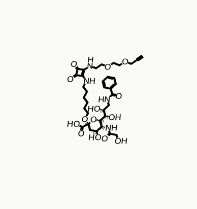 C#CCOCCOCCNc1c(NCCCCCCO[C@]2(C(=O)O)C[C@H](O)[C@@H](NC(=O)CO)[C@H]([C@H](O)[C@H](O)CNC(=O)c3ccccc3)O2)c(=O)c1=O